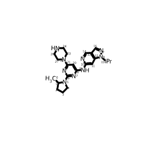 CC1CCCN1c1nc(Nc2cc3c(cn2)cnn3C(C)C)cc(N2CCNCC2)n1